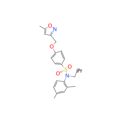 Cc1ccc(N(CC(C)C)S(=O)(=O)c2ccc(OCc3cc(C)on3)cc2)c(C)c1